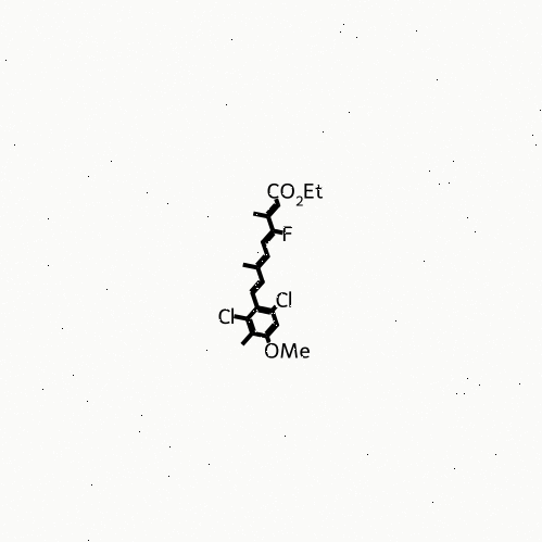 CCOC(=O)/C=C(C)/C(F)=C/C=C(C)/C=C/c1c(Cl)cc(OC)c(C)c1Cl